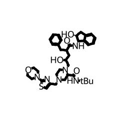 CC(C)(C)NC(=O)C1CN(Cc2csc(N3CCOCC3)n2)CCN1CC(O)CC(Cc1ccccc1)C(=O)N[C@H]1c2ccccc2C[C@H]1O